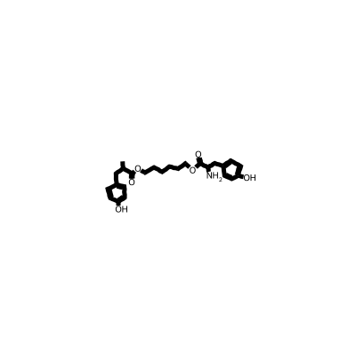 CC(Cc1ccc(O)cc1)C(=O)OCCCCCCOC(=O)C(N)Cc1ccc(O)cc1